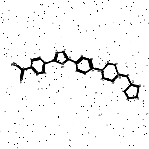 O=C(O)c1ccc(-c2nnc(-c3ccc(N4CCN(CC5CCCC5)CC4)cc3)s2)cc1